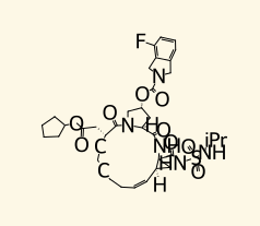 CC(C)NS(=O)(=O)NC(=O)[C@@]12C[C@H]1/C=C\CCCCC[C@H](CC(=O)OC1CCCC1)C(=O)N1C[C@H](OC(=O)N3Cc4cccc(F)c4C3)C[C@H]1C(=O)N2